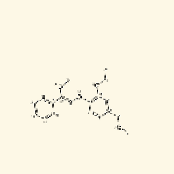 CCOc1cc(COC)ccc1OC=C(OC)c1ccccc1